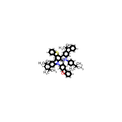 CC(C)(C)c1ccc(Nc2cc3c(cc2-c2c4c5c(c6cc7c(cc6n5-c5cc6oc8ccccc8c6cc5B4)C(C)(C)CCC7(C)C)c4c2sc2ccccc24)C(C)(C)c2ccccc2-3)cc1